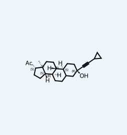 CC(=O)[C@H]1CC[C@H]2[C@@H]3CCC4C[C@@](O)(C#CC5CC5)CC[C@@H]4[C@H]3CC[C@]12C